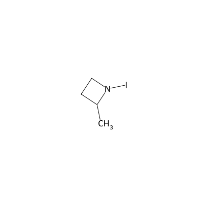 CC1CCN1I